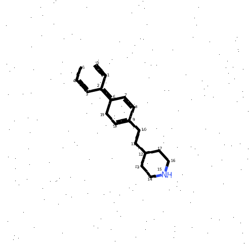 C=CC(/C=C\C)=C1\C=CC(CCC2CCNCC2)=CC1